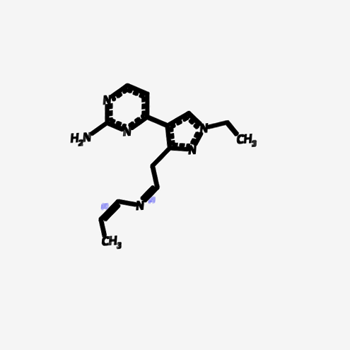 C/C=C\N=C/Cc1nn(CC)cc1-c1ccnc(N)n1